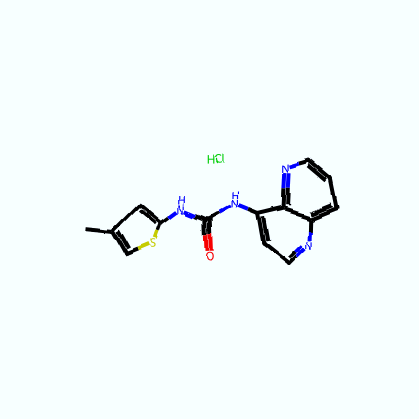 Cc1csc(NC(=O)Nc2ccnc3cccnc23)c1.Cl